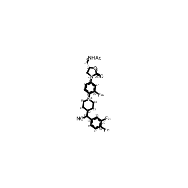 CC(=O)NC[C@H]1CN(c2ccc(N3CCC(C(C#N)c4ccc(F)c(F)c4)CC3)c(F)c2)C(=O)O1